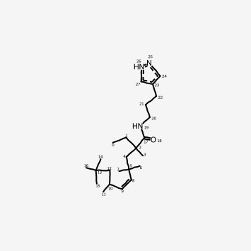 CCC(C)(CC(C)(C)/C=C\C(C)CC(C)(C)C)C(=O)NCCCc1cn[nH]c1